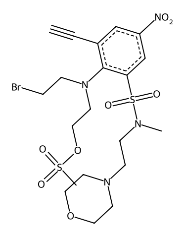 C#Cc1cc([N+](=O)[O-])cc(S(=O)(=O)N(C)CCN2CCOCC2)c1N(CCBr)CCOS(C)(=O)=O